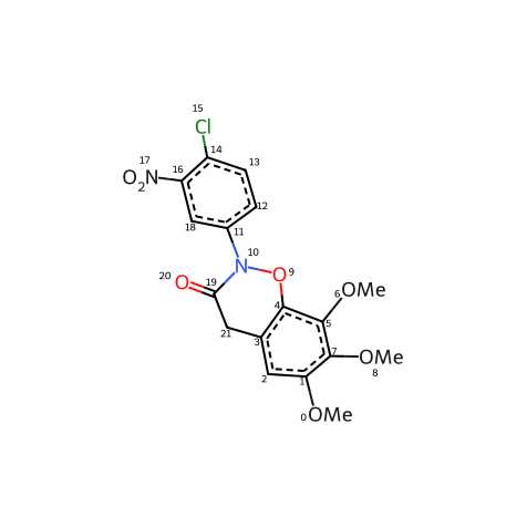 COc1cc2c(c(OC)c1OC)ON(c1ccc(Cl)c([N+](=O)[O-])c1)C(=O)C2